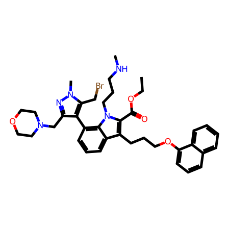 CCOC(=O)c1c(CCCOc2cccc3ccccc23)c2cccc(-c3c(CN4CCOCC4)nn(C)c3CBr)c2n1CCCNC